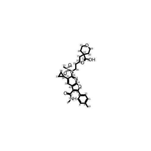 CNC(=O)c1c(-c2ccc(C)cc2)oc2nc(N(CCCCC3(C(=O)O)CCOCC3)S(C)(=O)=O)c(C3CC3)cc12